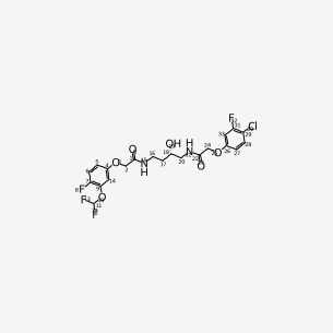 O=C(COc1ccc(F)c(OC(F)F)c1)NCC[C@H](O)CNC(=O)COc1ccc(Cl)c(F)c1